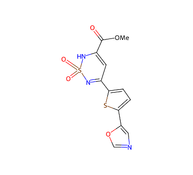 COC(=O)C1=CC(c2ccc(-c3cnco3)s2)=NS(=O)(=O)N1